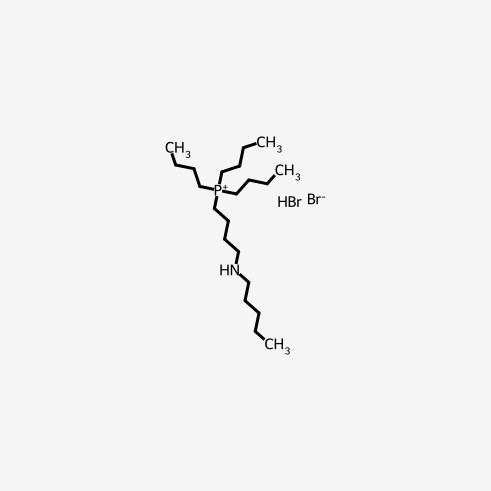 Br.CCCCCNCCCC[P+](CCCC)(CCCC)CCCC.[Br-]